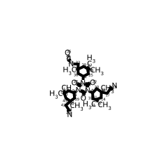 CC1(C)CC(n2c(=O)n(C3CC(C)(C)CC(C)(CC#N)C3)c(=O)n(C3CC(C)(C)CC(C)(CN=C=O)C3)c2=O)CC(C)(CC#N)C1